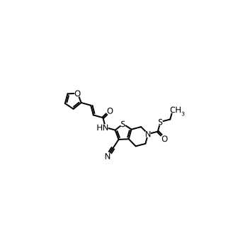 CCSC(=O)N1CCc2c(sc(NC(=O)C=Cc3ccco3)c2C#N)C1